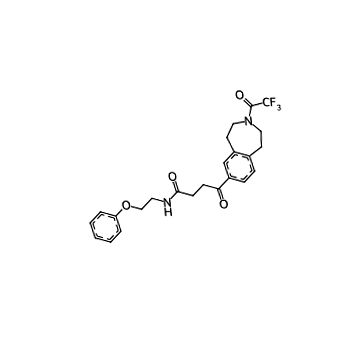 O=C(CCC(=O)c1ccc2c(c1)CCN(C(=O)C(F)(F)F)CC2)NCCOc1ccccc1